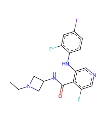 CCN1CC(NC(=O)c2c(F)cncc2Nc2ccc(I)cc2F)C1